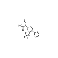 CCCC(C(=O)O)c1ccc(-c2ccccc2)c(OC(F)(F)F)c1